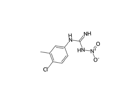 Cc1cc(NC(=N)N[N+](=O)[O-])ccc1Cl